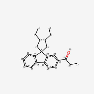 CCCCC1(CCCC)c2ccccc2-c2ccc(C(=O)CC)cc21